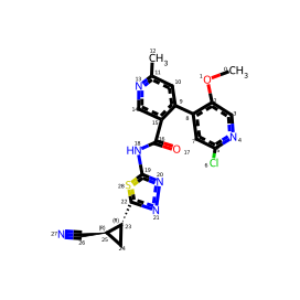 COc1cnc(Cl)cc1-c1cc(C)ncc1C(=O)Nc1nnc([C@@H]2C[C@H]2C#N)s1